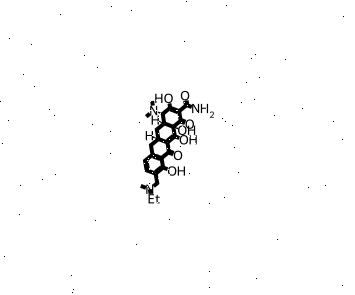 CCN(C)Cc1ccc2c(c1O)C(=O)C1=C(O)[C@]3(O)C(=O)C(C(N)=O)=C(O)[C@@H](N(C)C)[C@@H]3C[C@@H]1C2